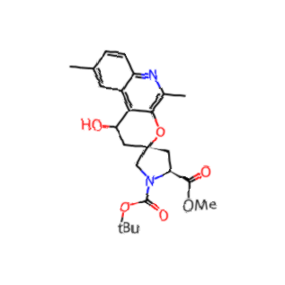 COC(=O)[C@@H]1C[C@]2(CC(O)c3c(c(C)nc4ccc(C)cc34)O2)CN1C(=O)OC(C)(C)C